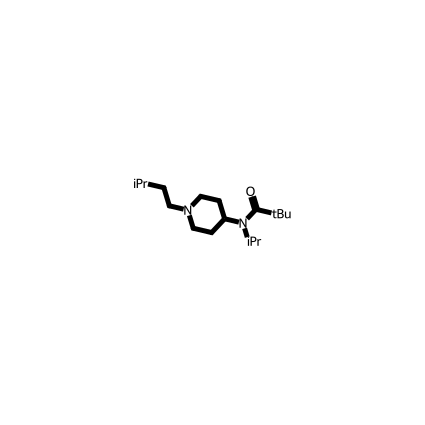 CC(C)CCN1CCC(N(C(=O)C(C)(C)C)C(C)C)CC1